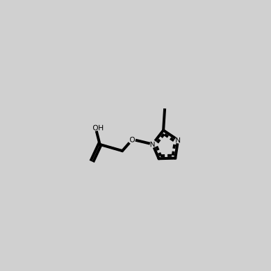 C=C(O)COn1ccnc1C